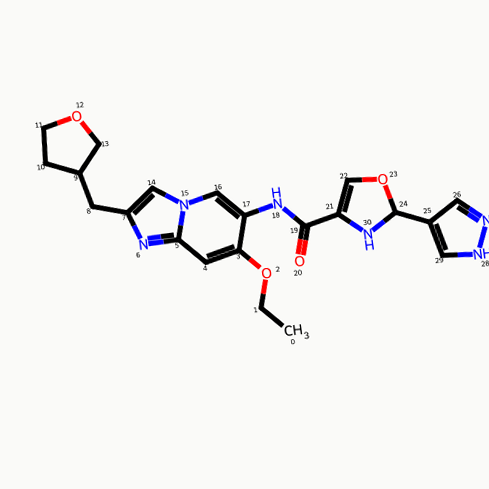 CCOc1cc2nc(CC3CCOC3)cn2cc1NC(=O)C1=COC(c2cn[nH]c2)N1